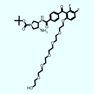 CC(C)(C)OC(=O)N1C[C@@H](N)[C@H](NC(=O)c2ccc(C(=O)c3c(OCCOCCOCCOCCOCCOCCO)ccc(F)c3F)cc2)C1